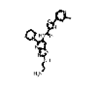 Cc1cc(-c2nc(C(=O)Nc3cc4sc(NCCN)nc4nc3N3CCCCC3)co2)ccn1